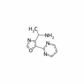 CC(N)c1ncoc1-c1ncccn1